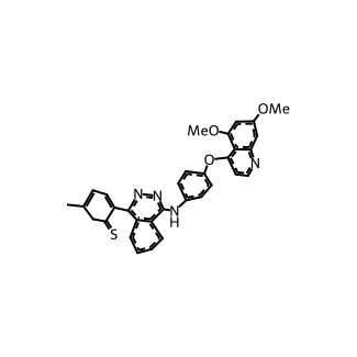 COc1cc(OC)c2c(Oc3ccc(Nc4nnc(C5=CC=C(C)CC5=S)c5ccccc45)cc3)ccnc2c1